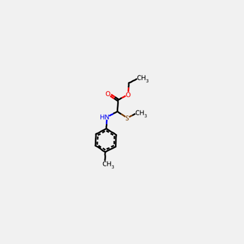 CCOC(=O)C(Nc1ccc(C)cc1)SC